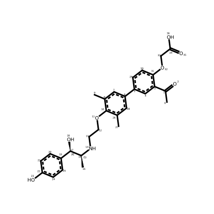 CC(=O)c1cc(-c2cc(C)c(OCCN[C@@H](C)[C@H](O)c3ccc(O)cc3)c(C)c2)ccc1OCC(=O)O